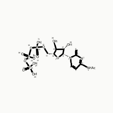 C=C1N=C(NC(C)=O)C=CN1[C@@H]1O[C@H](COP(=O)(O)OP(=O)(O)OP(=O)(O)O)C(O)[C@@H]1O